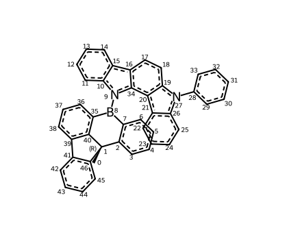 C[C@]12c3ccccc3B(n3c4ccccc4c4ccc5c(c6ccccc6n5-c5ccccc5)c43)c3cccc(c31)-c1ccccc12